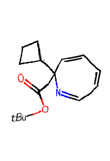 CC(C)(C)OC(=O)C1([C]2CCC2)C=CC=CC=N1